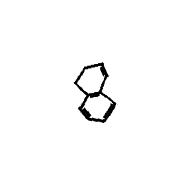 [c]1cccc2c1C=CCC2